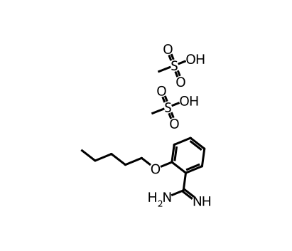 CCCCCOc1ccccc1C(=N)N.CS(=O)(=O)O.CS(=O)(=O)O